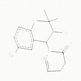 CC1(C)Oc2ccc(C#N)cc2C(N2N=CCCC2=O)C1O